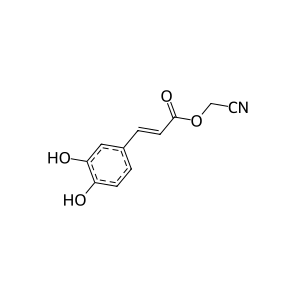 N#CCOC(=O)/C=C/c1ccc(O)c(O)c1